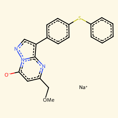 COCc1cc([O-])n2ncc(-c3ccc(Sc4ccccc4)cc3)c2n1.[Na+]